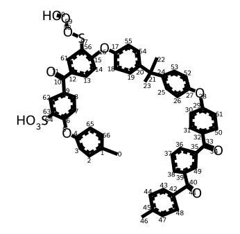 Cc1ccc(Oc2ccc(C(=O)c3ccc(Oc4ccc(C(C)(C)c5ccc(Oc6ccc(C(=O)c7cccc(C(=O)c8ccc(C)cc8)c7)cc6)cc5)cc4)c(SOOO)c3)cc2S(=O)(=O)O)cc1